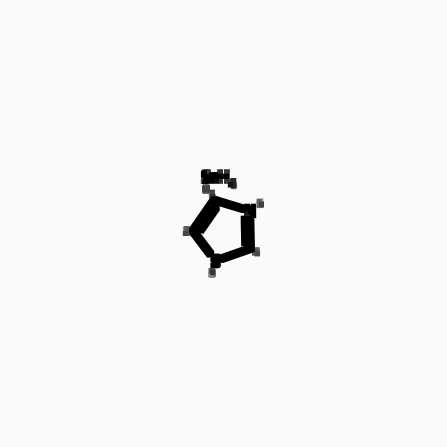 [SnH4].c1cscn1